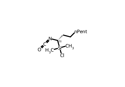 CCCCCCC[C@@H](N=C=O)[Si](C)(C)Cl